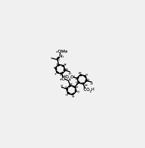 CON=C(C)c1ccc(OCc2c(C)cccc2-c2c(C(=O)O)ccc(C)c2C(=O)O)c(C)c1